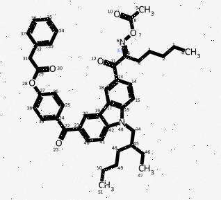 CCCCC/C(=N\OC(C)=O)C(=O)c1ccc2c(c1)c1cc(C(=O)c3ccc(OC(=O)Cc4ccccc4)cc3)ccc1n2CC(CC)CCCC